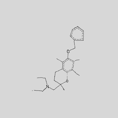 [CH2]CN(CC)CC1(C)CCc2c(C)c(OCc3ccccc3)c(C)c(C)c2O1